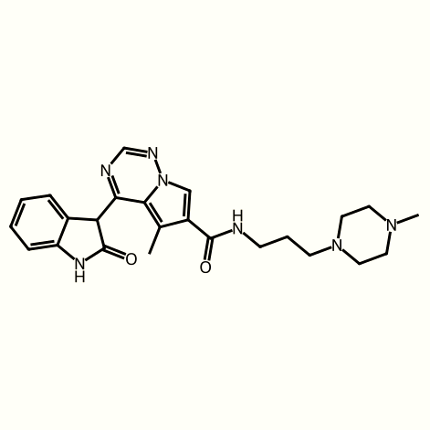 Cc1c(C(=O)NCCCN2CCN(C)CC2)cn2ncnc(C3C(=O)Nc4ccccc43)c12